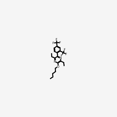 CCCCCOc1nc(CC)c(-c2ccc(C(F)(F)F)cc2C(F)(F)F)nc1CC